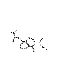 CCOC(=O)c1ccc2c(OC(=S)N(C)C)cccn2c1=O